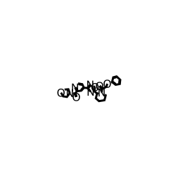 O=C(c1cc(-c2noc(C3CCCCN3C(=O)COc3ccccc3)n2)ccn1)N1CCOCC1